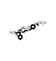 CCCCc1nc2c(N)nc3ccccc3c2n1CCCNCc1ccc(OC(C)C(=O)O)cc1